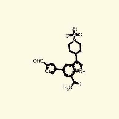 CCS(=O)(=O)N1CCC(c2c[nH]c3c(C(N)=O)cc(-c4coc(C=O)c4)cc23)CC1